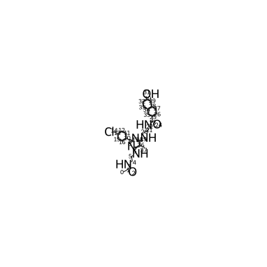 CC(=O)NCCNc1nc(-c2ccc(Cl)cc2)nc(NCCNC(=O)c2ccc3cc(O)ccc3c2)c1C